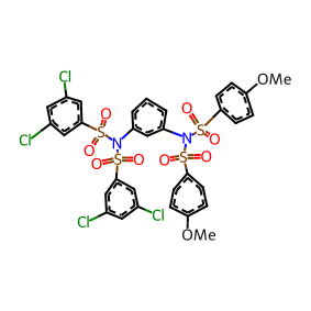 COc1ccc(S(=O)(=O)N(c2cccc(N(S(=O)(=O)c3cc(Cl)cc(Cl)c3)S(=O)(=O)c3cc(Cl)cc(Cl)c3)c2)S(=O)(=O)c2ccc(OC)cc2)cc1